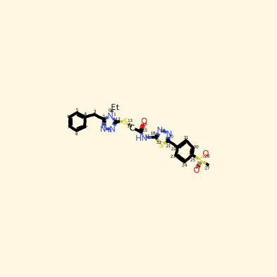 CCn1c(Cc2ccccc2)nnc1SCC(=O)Nc1nnc(-c2ccc(S(C)(=O)=O)cc2)s1